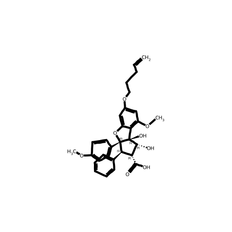 C=CCCCOc1cc(OC)c2c(c1)O[C@@]1(c3ccc(OC)cc3)[C@H](c3ccccc3)[C@@H](C(=O)O)[C@@H](O)[C@@]21O